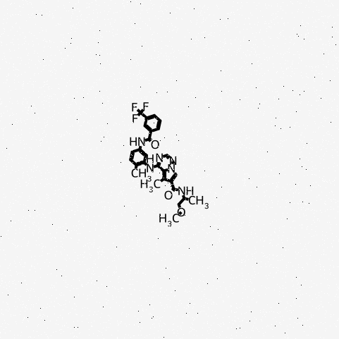 COCC(C)NC(=O)c1cn2ncnc(Nc3cc(NC(=O)c4cccc(C(F)(F)F)c4)ccc3C)c2c1C